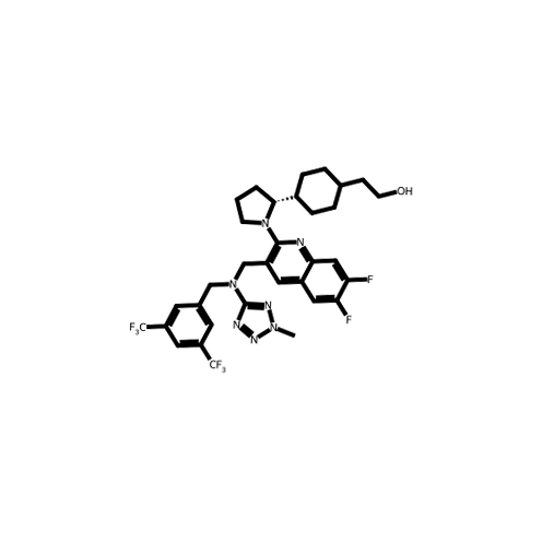 Cn1nnc(N(Cc2cc(C(F)(F)F)cc(C(F)(F)F)c2)Cc2cc3cc(F)c(F)cc3nc2N2CCC[C@@H]2C2CCC(CCO)CC2)n1